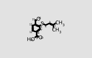 CC(C)=CCSc1cc(C(=O)O)ccc1C=O